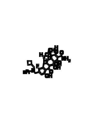 CCCN(Cc1cc(O)c2c(c1F)C[C@H]1C[C@H]3[C@H](N(C)C)C(O)=C(C(N)=O)C(=O)[C@@]3(O)C(O)=C1C2=O)CC1CCC1